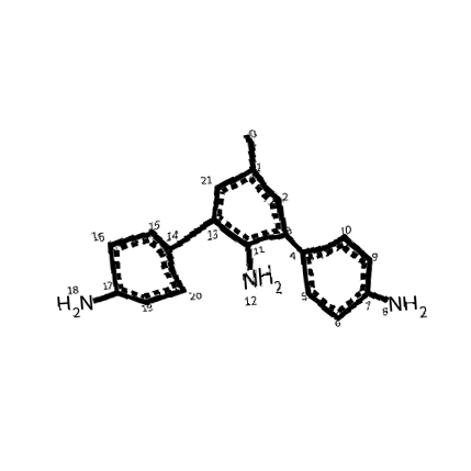 Cc1cc(-c2ccc(N)cc2)c(N)c(-c2ccc(N)cc2)c1